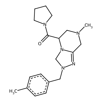 Cc1ccc(CN2CN3C(=N2)CN(C)CC3C(=O)N2CCCC2)cc1